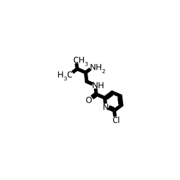 CC(C)C(N)CNC(=O)c1cccc(Cl)n1